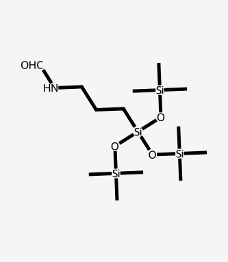 C[Si](C)(C)O[Si](CCCNC=O)(O[Si](C)(C)C)O[Si](C)(C)C